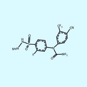 CNNS(=O)(=O)c1ccc(N(C(N)=O)c2ccc(C#N)c(C(F)(F)F)c2)cc1F